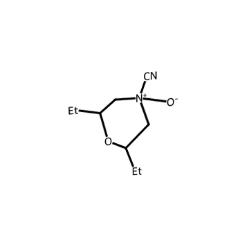 CCC1C[N+]([O-])(C#N)CC(CC)O1